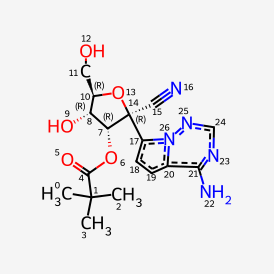 CC(C)(C)C(=O)O[C@@H]1[C@H](O)[C@@H](CO)O[C@@]1(C#N)c1ccc2c(N)ncnn12